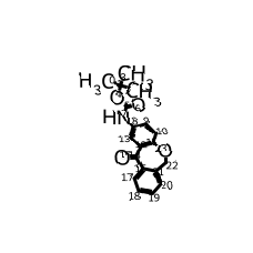 CC(C)(C)OC(=O)Nc1ccc2c(c1)C(=O)c1ccccc1CO2